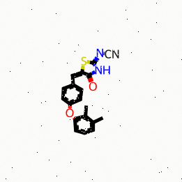 Cc1cccc(Oc2ccc(C=C3SC(=NC#N)NC3=O)cc2)c1C